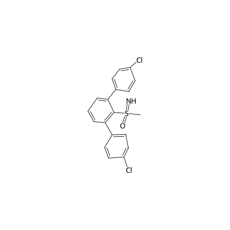 CS(=N)(=O)c1c(-c2ccc(Cl)cc2)cccc1-c1ccc(Cl)cc1